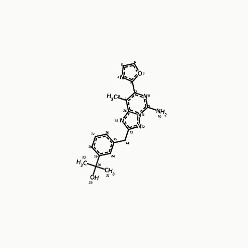 Cc1c(-c2ncco2)nc(N)n2nc(Cc3cccc(C(C)(C)O)c3)nc12